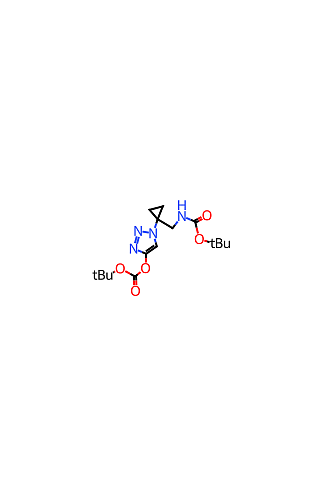 CC(C)(C)OC(=O)NCC1(n2cc(OC(=O)OC(C)(C)C)nn2)CC1